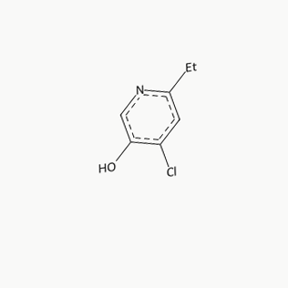 CCc1cc(Cl)c(O)cn1